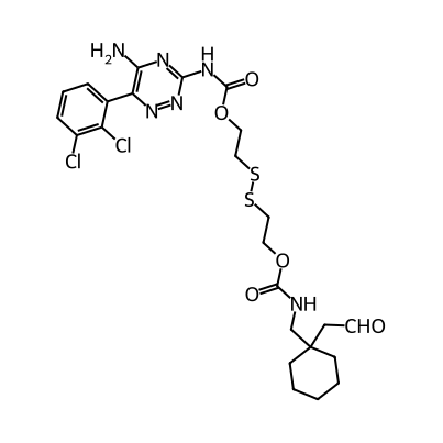 Nc1nc(NC(=O)OCCSSCCOC(=O)NCC2(CC=O)CCCCC2)nnc1-c1cccc(Cl)c1Cl